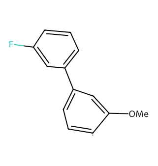 COc1[c]ccc(-c2cccc(F)c2)c1